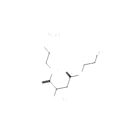 CC(C)CCOC(=O)CC(C(=O)OCCC(C)C)S(=O)(=O)O.[NaH]